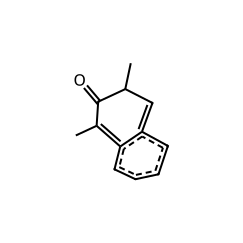 CC1=c2ccccc2=CC(C)C1=O